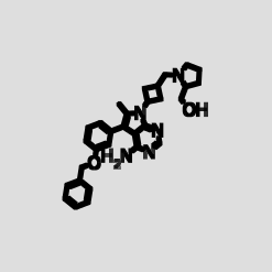 Cc1c(-c2cccc(OCc3ccccc3)c2)c2c(N)ncnc2n1C1CC(CN2CCCC2CO)C1